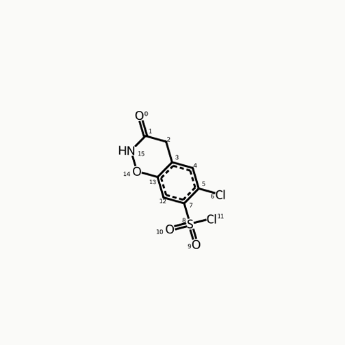 O=C1Cc2cc(Cl)c(S(=O)(=O)Cl)cc2ON1